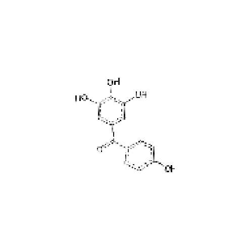 O=C(c1ccc(O)cc1)c1cc(O)c(O)c(O)c1